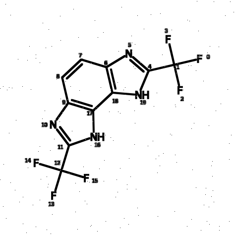 FC(F)(F)c1nc2ccc3nc(C(F)(F)F)[nH]c3c2[nH]1